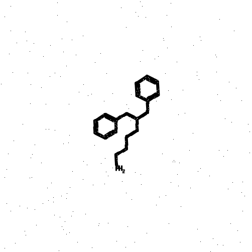 PCCCCC(Cc1ccccc1)Cc1ccccc1